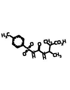 Cc1ccc(S(=O)(=O)NC(=O)NC(C)C(C)C(=O)O)cc1